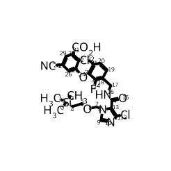 C[Si](C)(C)CCOCn1cnc(Cl)c1C(=O)NCc1ccc(Cl)c(Oc2cc(C#N)cc(C(=O)O)c2)c1F